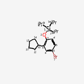 CC(C)[Si](Oc1ccc(Br)cc1C1CCCC1)(C(C)C)C(C)C